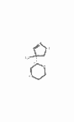 CC1([C@H]2CNCCO2)C=NNC1